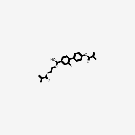 C=C(C)C(=O)OCCOC(O)c1ccc(-c2ccc(OC(=O)C(=C)C)cc2)c(F)c1